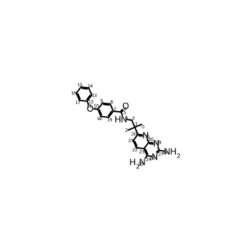 CC(C)(CNC(=O)c1ccc(Oc2ccccc2)cc1)c1ccc2c(N)nc(N)nc2n1